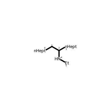 CCCCCCCCC(CCCCCCC)NCC